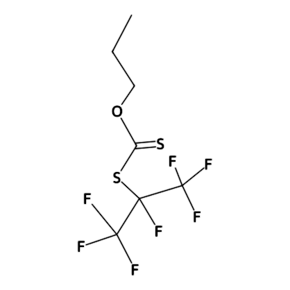 CCCOC(=S)SC(F)(C(F)(F)F)C(F)(F)F